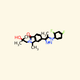 Cc1c(-c2ccc3c(c2)C(C)N(CC(C)(C)O)C3=O)nnn1-c1ccc(F)cc1F